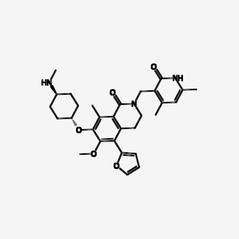 CN[C@H]1CC[C@H](Oc2c(C)c3c(c(-c4ccco4)c2OC)CCN(Cc2c(C)cc(C)[nH]c2=O)C3=O)CC1